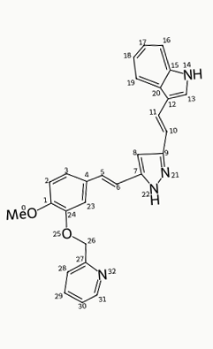 COc1ccc(C=Cc2cc(C=Cc3c[nH]c4ccccc34)n[nH]2)cc1OCc1ccccn1